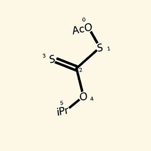 CC(=O)OSC(=S)OC(C)C